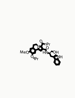 CCCC(=O)c1c(C(=O)N[C@@H](CO)Cc2c[nH]c3ccccc23)cc2n1CCc1cc(OC)c(OC(C)C)cc1-2